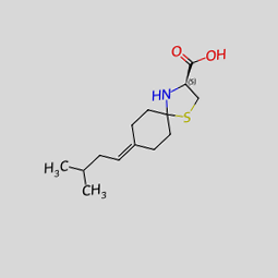 CC(C)CC=C1CCC2(CC1)N[C@@H](C(=O)O)CS2